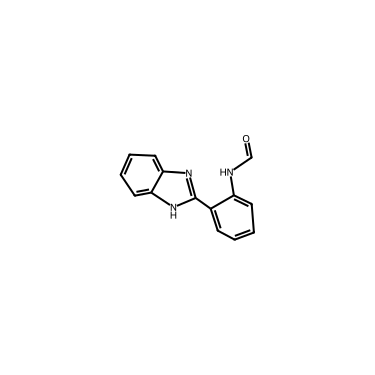 O=CNc1ccccc1-c1nc2ccccc2[nH]1